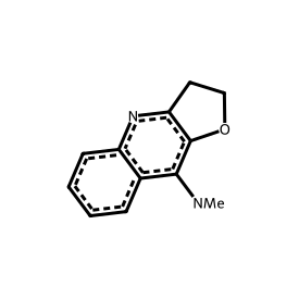 CNc1c2c(nc3ccccc13)CCO2